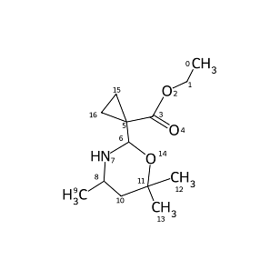 CCOC(=O)C1(C2NC(C)CC(C)(C)O2)CC1